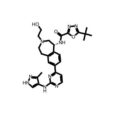 Cc1n[nH]cc1Nc1nccc(-c2ccc3c(c2)CCN(CCO)C[C@@H]3NC(=O)c2nnc(C(C)(C)C)o2)n1